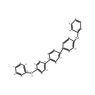 c1ccc(Oc2ccc(-c3ccc(-c4ccc(Oc5ccccc5)cc4)cc3)cc2)cc1